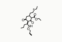 C=CCONC(CCC)=C1C(=O)CC(CCSCC)C(C(=O)OCC)C1=O